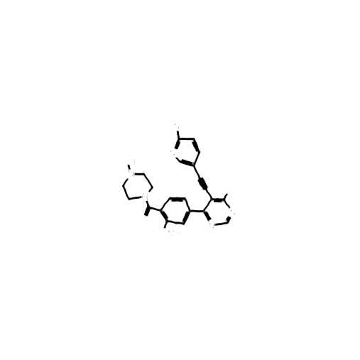 CCc1ncnc(-c2ccc(C(=O)N3CCN(C(C)C)CC3)c(OC)c2)c1C#Cc1ccc(N)nc1